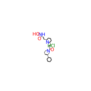 Cl.O=C(C=Cc1cccc(C=CC(=O)N2CCC=C(c3ccccc3)C2)n1)NO